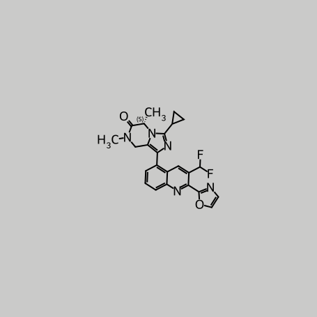 C[C@H]1C(=O)N(C)Cc2c(-c3cccc4nc(-c5ncco5)c(C(F)F)cc34)nc(C3CC3)n21